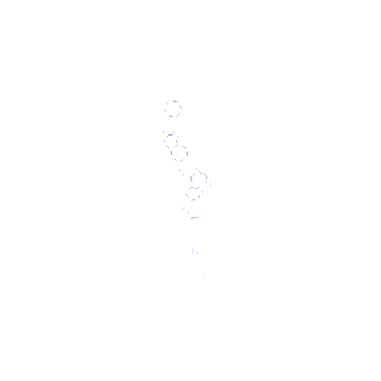 CCc1c(NC(=O)OCCN2CCC(F)(F)CC2)cn2ncnc(Nc3ccc4c(cnn4Cc4ccccc4)c3)c12